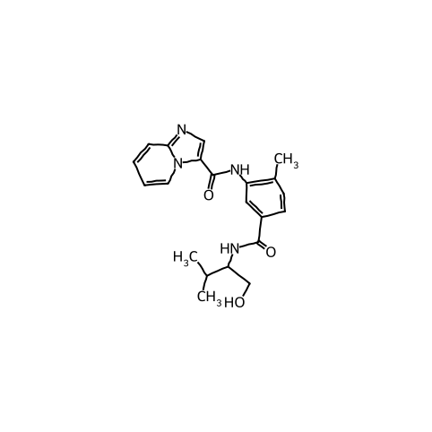 Cc1ccc(C(=O)NC(CO)C(C)C)cc1NC(=O)c1cnc2ccccn12